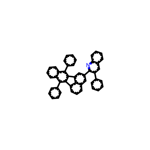 c1ccc(-c2cc3ccccc3nc2-c2cc3c4c(cccc4c2)-c2c-3c(-c3ccccc3)c3ccccc3c2-c2ccccc2)cc1